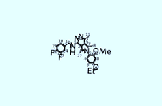 CCOc1ccc(-n2c(C)c3c(C)nnc(NCc4ccc(F)c(F)c4)c3c2C)c(OC)c1